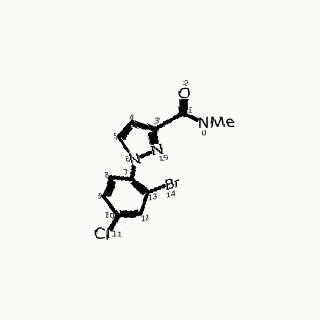 CNC(=O)c1ccn(-c2ccc(Cl)cc2Br)n1